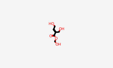 O=C(OCO)C(=CCO)CO